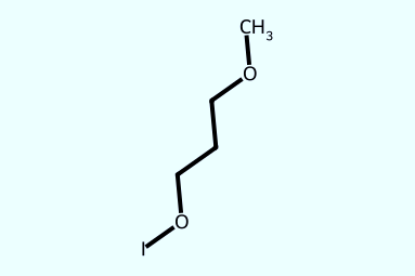 COCCCOI